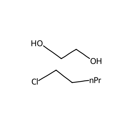 CCCCCCl.OCCO